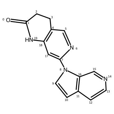 O=C1CCc2cnc(-n3ccc4ccncc43)cc2N1